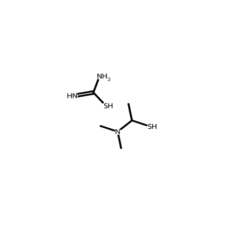 CC(S)N(C)C.N=C(N)S